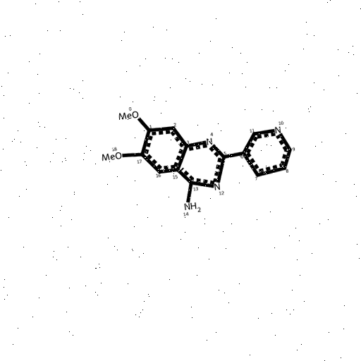 COc1cc2nc(-c3cccnc3)nc(N)c2cc1OC